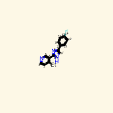 CCc1ccncc1-c1nc(-c2ccc(F)cc2)c[nH]1